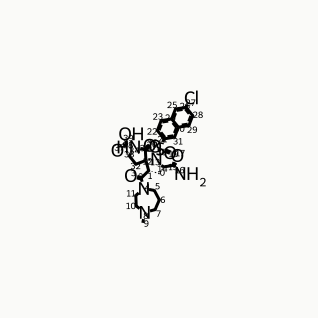 C[C@H](C(=O)N1CCCN(C)CC1)[C@@]1(N(CC(N)=O)S(=O)(=O)c2ccc3cc(Cl)ccc3c2)CCNC1=O.O=CO